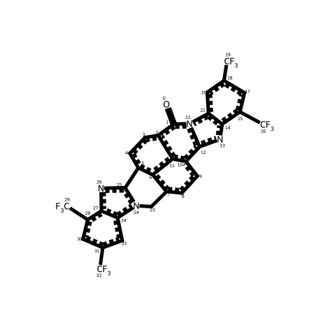 O=c1c2ccc3c4c(ccc(c42)c2nc4c(C(F)(F)F)cc(C(F)(F)F)cc4n12)Cn1c-3nc2c(C(F)(F)F)cc(C(F)(F)F)cc21